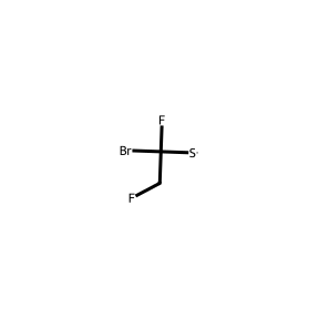 FCC(F)([S])Br